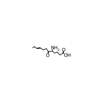 CCC=CCCC(=O)C(N)CCCC(=O)O